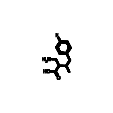 CC(Cc1ccc(F)cc1)C(CN)C(=O)O